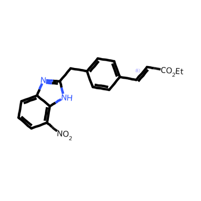 CCOC(=O)/C=C/c1ccc(Cc2nc3cccc([N+](=O)[O-])c3[nH]2)cc1